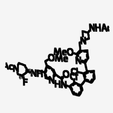 COCc1cc(C(=O)Nc2cccc(-c3cccc(-c4ccc(CN5CC(NC(C)=O)C5)c(OC)n4)c3Cl)c2Cl)ncc1CN[C@@H]1CCN(C(C)=O)C[C@@H]1F